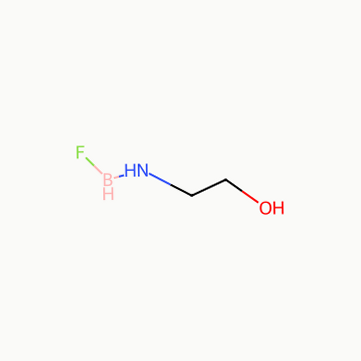 OCCNBF